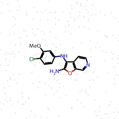 COc1cc(Nc2c(N)oc3cnccc23)ccc1Cl